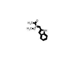 CO/[N+](=[C]\c1cc2ccccc2[nH]1)C(C)=O